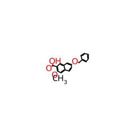 COc1cc2ccc(OCc3ccccc3)cc2cc1C(=O)O